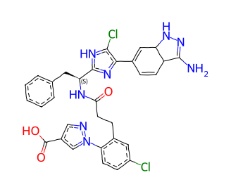 NC1=NNC2C=C(c3nc([C@H](Cc4ccccc4)NC(=O)CCc4cc(Cl)ccc4-n4cc(C(=O)O)cn4)[nH]c3Cl)C=CC12